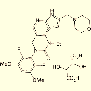 CCN1C(=O)N(c2c(F)c(OC)cc(OC)c2F)Cc2cnc3[nH]c(CN4CCOCC4)cc3c21.O=C(O)[C@H](O)[C@@H](O)C(=O)O